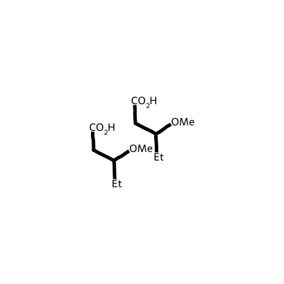 CCC(CC(=O)O)OC.CCC(CC(=O)O)OC